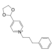 c1ccc(CCC[n+]2ccc(C3OCCO3)cc2)cc1